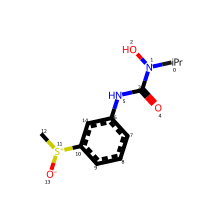 CC(C)N(O)C(=O)Nc1cccc([S+](C)[O-])c1